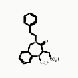 O=C(O)CC1C(=O)N(CCc2ccccc2)Cc2ccccc2N1C(=O)O